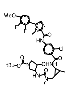 COc1ccc(-c2cnc(C(=O)Nc3ccc(C(=O)NC4C(C)C4CN(C)C(=O)NC4CN(C(=O)OC(C)(C)C)CC4O)c(Cl)c3)n2C)c(F)c1F